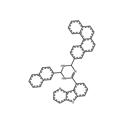 c1ccc2cc(C3NC(c4cccc5oc6cccnc6c45)=NC(c4ccc5c(ccc6ccc7ccccc7c65)c4)N3)ccc2c1